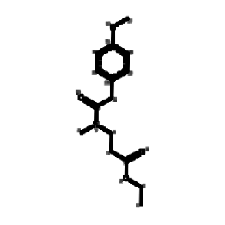 CCOC(=O)CCN(C)C(=O)Cc1ccc(OC)cc1